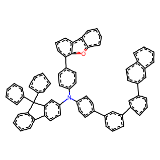 c1ccc(C2(c3ccccc3)c3ccccc3-c3ccc(N(c4ccc(-c5cccc(-c6cccc(-c7ccc8ccccc8c7)c6)c5)cc4)c4ccc(-c5cccc6c5oc5ccccc56)cc4)cc32)cc1